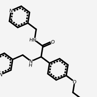 CCOc1ccc(C(NCc2cccnc2)C(=O)NCc2ccncc2)cc1